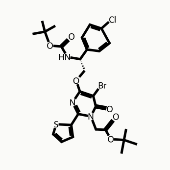 CC(C)(C)OC(=O)Cn1c(-c2cccs2)nc(OC[C@H](NC(=O)OC(C)(C)C)c2ccc(Cl)cc2)c(Br)c1=O